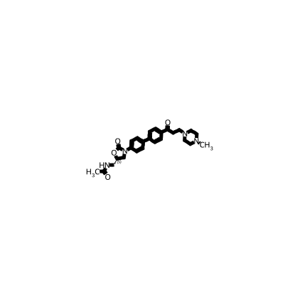 CC(=O)NC[C@H]1CN(c2ccc(-c3ccc(C(=O)CCN4CCN(C)CC4)cc3)cc2)C(=O)O1